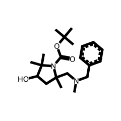 CN(Cc1ccccc1)CC1(C)CC(O)C(C)(C)N1C(=O)OC(C)(C)C